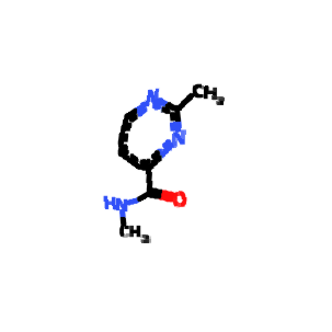 CNC(=O)c1ccnc(C)n1